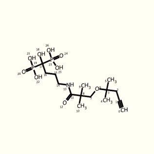 C#CCC(C)(C)OCC(C)(C)C(=O)NCCCC(O)(P(=O)(O)O)P(=O)(O)O